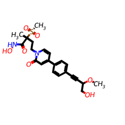 COC(C#Cc1ccc(-c2ccn(CCC(C)(C(=O)NO)S(C)(=O)=O)c(=O)c2)cc1)CO